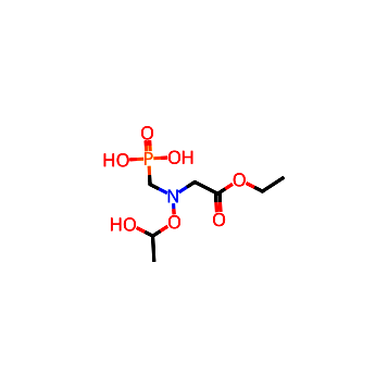 CCOC(=O)CN(CP(=O)(O)O)OC(C)O